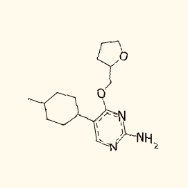 CC1CCC(c2cnc(N)nc2OCC2CCCO2)CC1